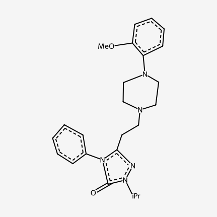 COc1ccccc1N1CCN(CCc2nn(C(C)C)c(=O)n2-c2ccccc2)CC1